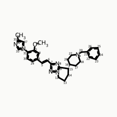 COc1cc(/C=C/c2nc3n(n2)CCC[C@H]3C2CCN(Cc3ccccc3)CC2)ccc1-n1cnc(C)c1